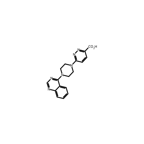 O=C(O)c1ccc(N2CCN(c3ncnc4ccccc34)CC2)nn1